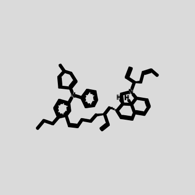 C=C[C@@H](CCC/C=C\c1cc(N(C2=CCC(C)C=C2)c2ccccc2)ccc1CCC)C[C@H]1C=CC2=CC=CC3[C@H]2[C@H]1CN3[C@@H](C=C)C/C=C\C